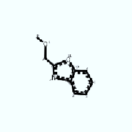 COCc1nc2ccccc2o1